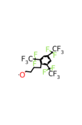 [O]CCCCc1c(C(F)(F)C(F)(F)F)cc(C(F)(F)C(F)(F)F)cc1C(F)(F)C(F)(F)F